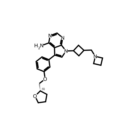 Nc1ncnc2c1c(-c1cccc(OC[C@@H]3CCCO3)c1)cn2C1CC(CN2CCC2)C1